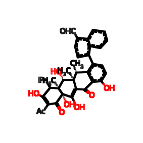 CC(=O)C1=C(O)C(C(C)C)[C@@]2(C)[C@H](O)[C@]3(C)C(=C(O)[C@@]2(O)C1=O)C(=O)c1c(O)ccc(-c2ccc(C=O)c4ccccc24)c1[C@H]3C